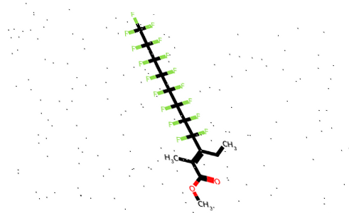 CCC(=C(C)C(=O)OC)C(F)(F)C(F)(F)C(F)(F)C(F)(F)C(F)(F)C(F)(F)C(F)(F)C(F)(F)F